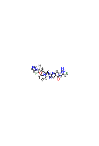 CC(C(F)Oc1cccc2cc(-c3nc4cc5c(nc4n3C)CCN(CC(N)CF)C5=O)n(CC3CC3)c12)n1ccnc1